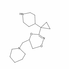 C1CCN(CC2CON=C(C3(C4CCNCC4)CC3)O2)CC1